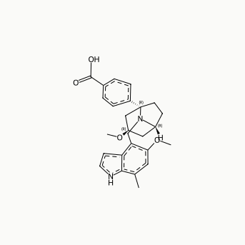 COc1cc(C)c2[nH]ccc2c1CN1[C@@H]2CC[C@]1(c1ccc(C(=O)O)cc1)C[C@H](OC)C2